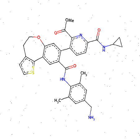 COC(=O)c1nc(C(=O)NC2CC2)ccc1-c1cc2c(cc1C(=O)Nc1c(C)cc(CN)cc1C)-c1sccc1CCO2